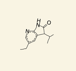 CCc1cnc2c(c1)C(C(C)C)C(=O)N2